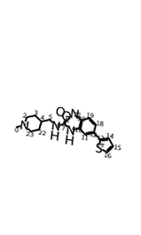 CN1CCC(CNC(=O)Nc2cc(-c3cccs3)ccc2[N+](=O)[O-])CC1